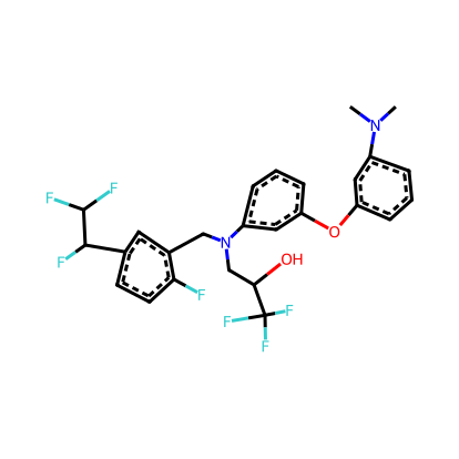 CN(C)c1cccc(Oc2cccc(N(Cc3cc(C(F)C(F)F)ccc3F)CC(O)C(F)(F)F)c2)c1